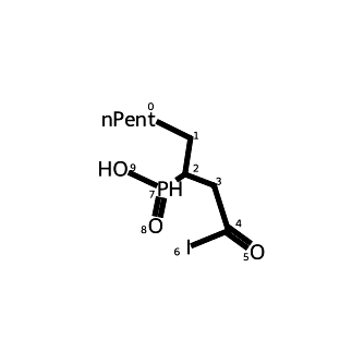 CCCCCCC(CC(=O)I)[PH](=O)O